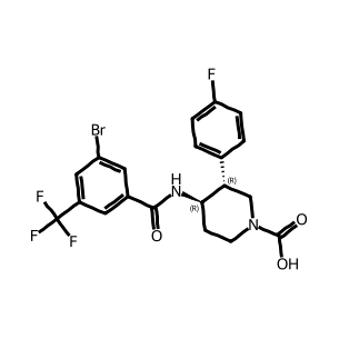 O=C(N[C@@H]1CCN(C(=O)O)C[C@H]1c1ccc(F)cc1)c1cc(Br)cc(C(F)(F)F)c1